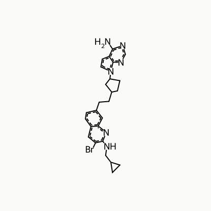 Nc1ncnc2c1ccn2C1CCC(CCc2ccc3cc(Br)c(NCC4CC4)nc3c2)C1